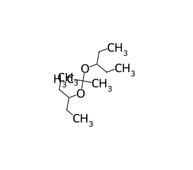 CCC(CC)OC(C)(C)OC(CC)CC